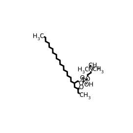 CCCCCCCCCCCCCCCCCC(COP(=O)(O)OCC[N+](C)(C)C)CC(=O)CC